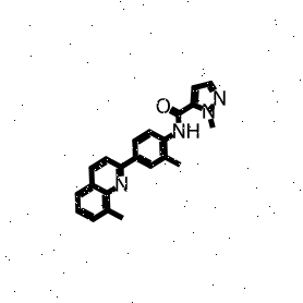 Cc1cc(-c2ccc3cccc(C)c3n2)ccc1NC(=O)c1ccnn1C